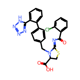 O=C(N=C1SCC(C(=O)O)N1Cc1ccc(-c2ccccc2-c2nnn[nH]2)cc1)c1ccccc1Cl